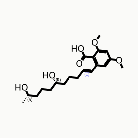 COc1cc(/C=C/CCC[C@@H](O)CCC[C@H](C)O)c(C(=O)O)c(OC)c1